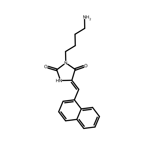 NCCCCN1C(=O)NC(=Cc2cccc3ccccc23)C1=O